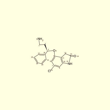 NCC[C@@H](Oc1cc(Cl)cc2c1CC(=O)N2)c1ccccc1